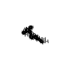 C=C(/C=C\C(C)=N)Nc1ncc2c(n1)N(C)C(=O)N(c1cc(NC(=O)c3ccc4c(c3)N(Cc3ccccc3)C(=O)[C@H](C)N=C4c3ccccc3)ccc1C)C2